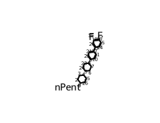 CCCCCC1CCC([C@H]2CC[C@H](c3ccc(-c4ccc(F)c(F)c4)cc3)CC2)CC1